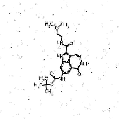 CN(C)CCNC(=O)c1[nH]c2cc(NC(=O)OC(C)(C)C)cc3c2c1C=NNC3=O